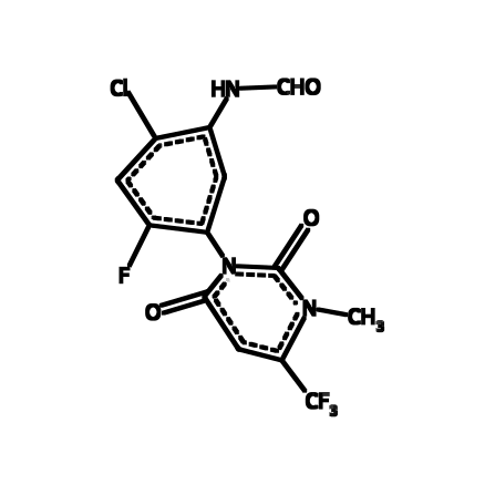 Cn1c(C(F)(F)F)cc(=O)n(-c2cc(NC=O)c(Cl)cc2F)c1=O